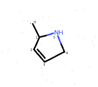 [CH2]C1C=CCN1